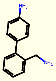 NCc1ccccc1-c1ccc(N)cc1